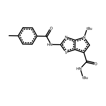 Cc1ccc(C(=O)Nc2nc3c(s2)c(C(=O)NC(C)(C)C)cn3C(C)(C)C)cc1